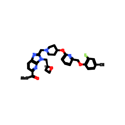 COC(=O)c1ccc2nc(CN3CCC(Oc4cccc(COc5ccc(C#N)cc5F)n4)CC3)n(C[C@@H]3CCO3)c2n1